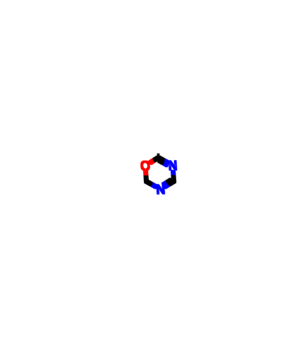 [C]1=NC=NCO1